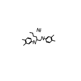 CCCCC(/C=N/c1ccc(C)c(C)c1)=N\c1ccc(C)c(C)c1.[Ni]